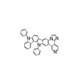 c1ccc(-n2c3ccccc3c3c2ccc2c4cc5c(cc4n(-c4ccccc4)c23)c2cnccc2c2nccn52)cc1